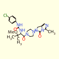 COC(C)(C)C(NC(=O)Nc1ccc(Cl)cc1)C(=O)N1CCN(N2Cc3cnc(C)n3C2=O)CC1